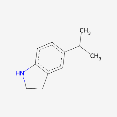 CC(C)c1ccc2c(c1)CCN2